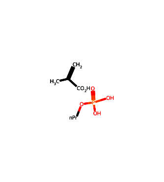 C=C(C)C(=O)O.CCCOP(=O)(O)O